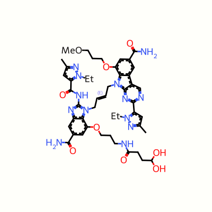 CCn1nc(C)cc1C(=O)Nc1nc2cc(C(N)=O)cc(OCCCNC(=O)CCC(O)O)c2n1C/C=C/Cn1c2nc(-c3cc(C)nn3CC)ncc2c2cc(C(N)=O)cc(OCCCOC)c21